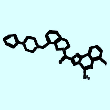 Nc1nc2c(F)cccc2c2nc(C(=O)N3CCc4cccc(CN5CCN(c6ccccc6)CC5)c4C3)cn12